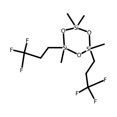 C[Si]1(C)O[Si](C)(CCC(F)(F)F)O[Si](C)(CCC(F)(F)F)O1